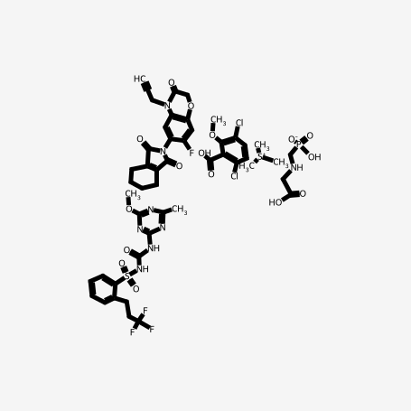 C#CCN1C(=O)COc2cc(F)c(N3C(=O)C4=C(CCCC4)C3=O)cc21.COc1c(Cl)ccc(Cl)c1C(=O)O.COc1nc(C)nc(NC(=O)NS(=O)(=O)c2ccccc2CCC(F)(F)F)n1.C[S+](C)C.O=C(O)CNCP(=O)([O-])O